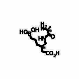 C[C@H](N)C(=O)NC[C@H](CCCB(O)O)CC(=O)O